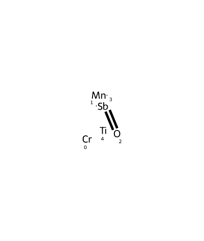 [Cr].[Mn].[O]=[Sb].[Ti]